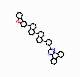 c1cc(-c2cnc3c4ccccc4c4ccccc4c3n2)cc(-c2cccc3c(-c4cccc5c(-c6ccc7oc8ccccc8c7c6)cccc45)cccc23)c1